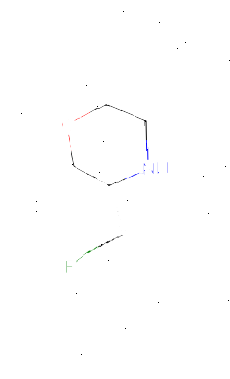 FC[C@@H]1COCCN1